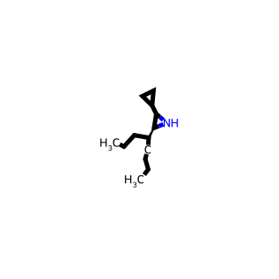 CCCCC(CCC)[C@@H]1NC1C1CC1